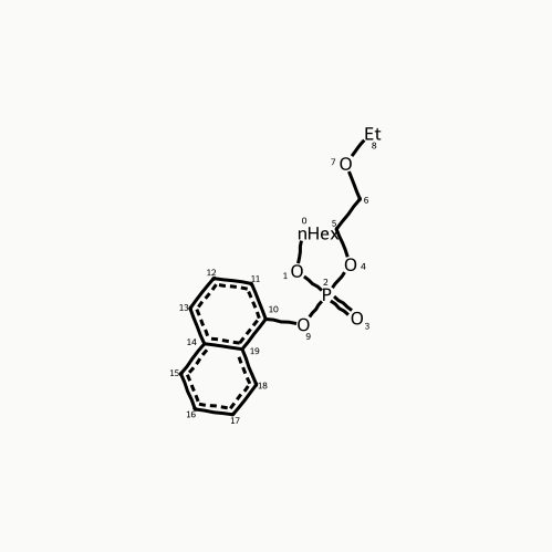 CCCCCCOP(=O)(OCCOCC)Oc1cccc2ccccc12